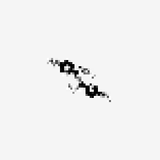 C=N/C(=N\N=C(/N)c1ccc(N)cn1)c1ccc(N)cn1